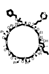 C/C=C/C[C@@H](C)[C@@H](O)[C@H]1C(=O)N[C@@H](CC)C(=O)N(C)[C@H](SCCCN2CCOCC2)C(=O)N(C)[C@@H](CC(C)(C)OCc2ccccc2)C(=O)N[C@@H](C(C)C)C(=O)N(C)[C@@H](CC(C)C)C(=O)N[C@@H](C)C(=O)N[C@H](C)C(=O)N(C)[C@@H](CC(C)C)C(=O)N(C)[C@@H](CC(C)C)C(=O)N(C)[C@@H](C(C)C)C(=O)N1C